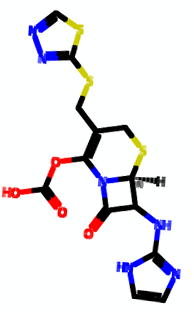 O=C(O)OC1=C(CSc2nncs2)CS[C@H]2C(Nc3ncc[nH]3)C(=O)N12